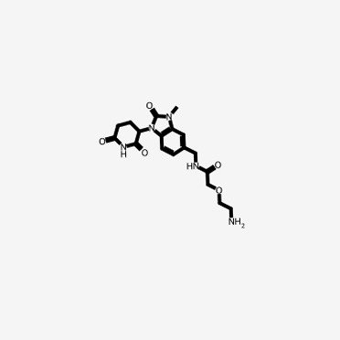 Cn1c(=O)n(C2CCC(=O)NC2=O)c2ccc(CNC(=O)COCCN)cc21